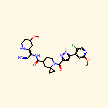 COc1cc(-c2cc(C(=O)N3CCC(C(=O)N/C(C=N)=C4\CC(OC)CCN4)CC34CC4)n[nH]2)c(F)cn1